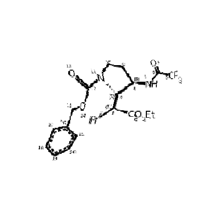 CCOC(=O)[C@@H](C(C)C)[C@H]1[C@H](NC(=O)C(F)(F)F)CCN1C(=O)OCc1ccccc1